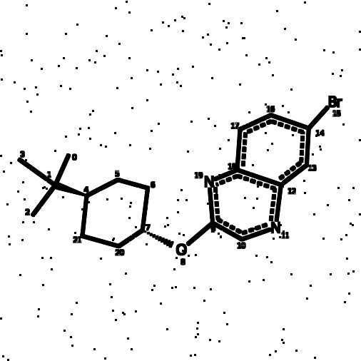 CC(C)(C)[C@H]1CC[C@H](Oc2cnc3cc(Br)ccc3n2)CC1